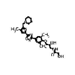 Cc1cc(-c2nc(-c3cc(C)c(OCC(O)CNC(=O)CO)c(C)c3)no2)sc1CN1CCCCC1